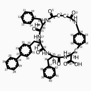 O=C1CCC(=O)N[C@H](Cc2ccccc2)C(=O)N[C@@H](Cc2ccc(-c3ccccc3)cc2)C(=O)N[C@H](Cc2ccccc2)C(=O)N[C@H](C(=O)O)Cc2ccc(cc2)N1